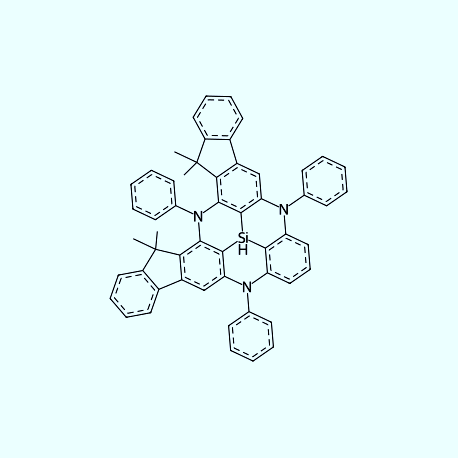 CC1(C)c2ccccc2-c2cc3c4c(c21)N(c1ccccc1)c1c2c(cc5c1C(C)(C)c1ccccc1-5)N(c1ccccc1)c1cccc(c1[SiH]42)N3c1ccccc1